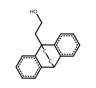 OCCC12CCC(c3ccccc31)c1ccccc12